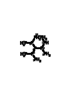 PPP(P)P(P(P)P)P(P)P